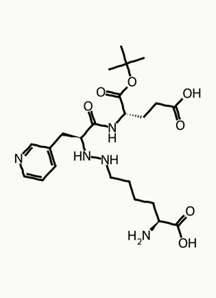 CC(C)(C)OC(=O)[C@H](CCC(=O)O)NC(=O)[C@H](Cc1cccnc1)NNCCCC[C@H](N)C(=O)O